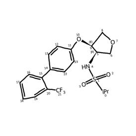 CC(C)S(=O)(=O)N[C@@H]1COC[C@@H]1Oc1ccc(-c2ccccc2C(F)(F)F)cc1